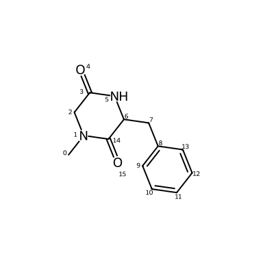 CN1CC(=O)NC(Cc2ccccc2)C1=O